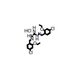 CCOc1cc(Cl)ccc1/C=N/NC(=N)N/N=C/c1ccc(Cl)cc1OCC.Cl